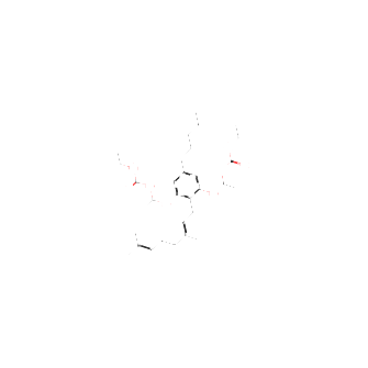 CCCCCc1cc(OC(C)OC(=O)OCC)c(C/C=C(\C)CCC=C(C)C)c(OC(C)OC(=O)OCC)c1